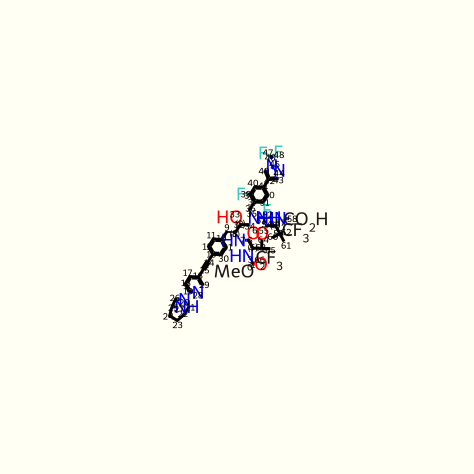 COC(=O)N[C@H](C(=O)N[C@@H](Cc1ccc(C#Cc2ccc(N3CC4CCC(C3)N4)nc2)cc1)[C@@H](O)CN(Cc1c(F)cc(-c2cnn(C(F)F)c2)cc1F)NC(=O)[C@@H](NC(=O)O)C(C)(C)C(F)(F)F)C(C)(C)C(F)(F)F